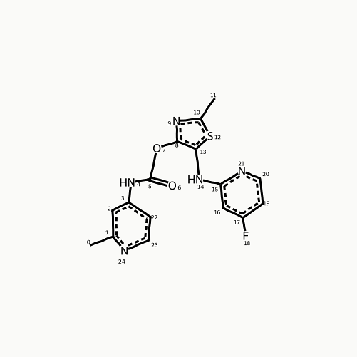 Cc1cc(NC(=O)Oc2nc(C)sc2Nc2cc(F)ccn2)ccn1